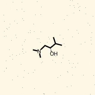 CC(C)[C@H](O)CN(C)C